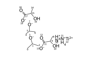 CC(C)[O-].CC(C)[O-].CC(O)C(=O)[O-].CC(O)C(=O)[O-].[NH4+].[NH4+].[Ti+2]